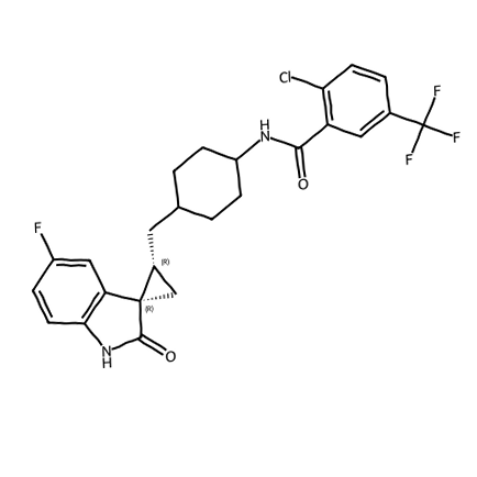 O=C(NC1CCC(C[C@@H]2C[C@@]23C(=O)Nc2ccc(F)cc23)CC1)c1cc(C(F)(F)F)ccc1Cl